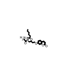 CCCCCC(=O)OC(CCOc1ccc2ccc(=O)oc2c1)CNC(=O)[C@H](C)N